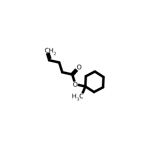 C=CCCC(=O)OC1(C)CCCCC1